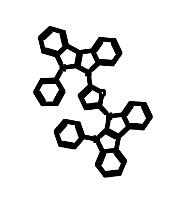 c1ccc(-n2c3ccccc3c3c4ccccc4n(-c4ccc(-n5c6ccccc6c6c7ccccc7n(-c7ccccc7)c65)o4)c32)cc1